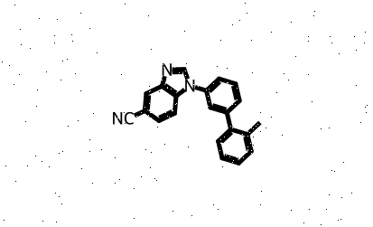 Cc1ccccc1-c1cccc(-n2cnc3cc(C#N)ccc32)c1